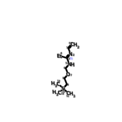 C=C/N=C(\CC)NCOCC[Si](C)(C)C